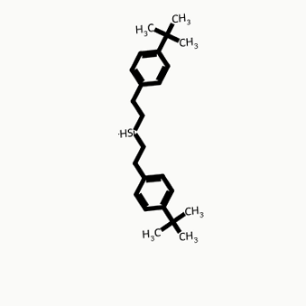 CC(C)(C)c1ccc(CC[SiH]CCc2ccc(C(C)(C)C)cc2)cc1